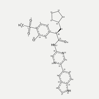 CS(=O)(=O)c1ccc([C@@H](CC2CCCC2)C(=O)Nc2cnc(-c3ccc4[nH]ccc4c3)cn2)cc1Cl